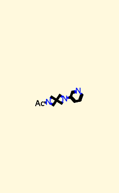 CC(=O)N1CC2(C1)CN(c1cccnc1)C2